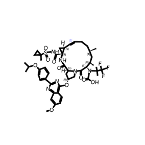 COc1ccc2c(O[C@@H]3C[C@H]4C(=O)N[C@]5(C(=O)NS(=O)(=O)C6(C)CC6)C[C@H]5/C=C\CC[C@@H](C)C[C@@H](C)[C@H](N(C(=O)O)C(C)(C)C(F)(F)F)C(=O)N4C3)nc(-c3ccc(OC(C)C)cc3)nc2c1